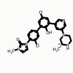 C[C@@H]1CN(c2cncc(-c3cc(Cl)cc(-c4ccc(-n5ccn(C)c5=O)c(Cl)c4)c3O)c2)CCN1